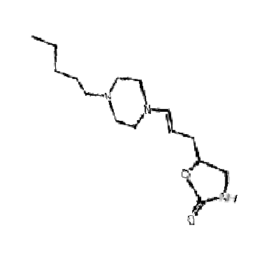 CCCCCN1CCN(C=CCC2CNC(=O)O2)CC1